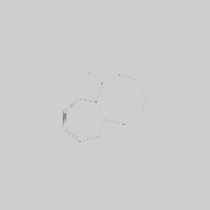 NC1CCCCCC2CC=C=C=CC12